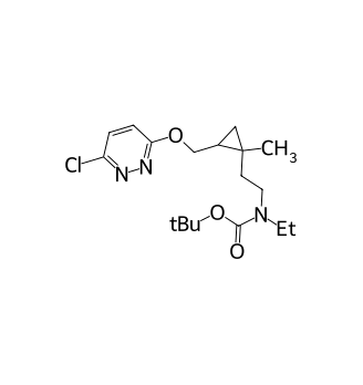 CCN(CCC1(C)CC1COc1ccc(Cl)nn1)C(=O)OC(C)(C)C